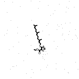 CCOC(=O)c1nnsc1SC/C=C(\C)CC/C=C(\C)CCC=C(C)C